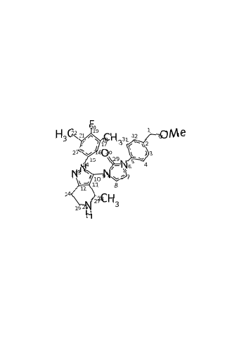 COCc1ccc(-n2ccn(-c3c4c(nn3-c3cc(C)c(F)c(C)c3)CCN[C@H]4C)c2=O)cc1